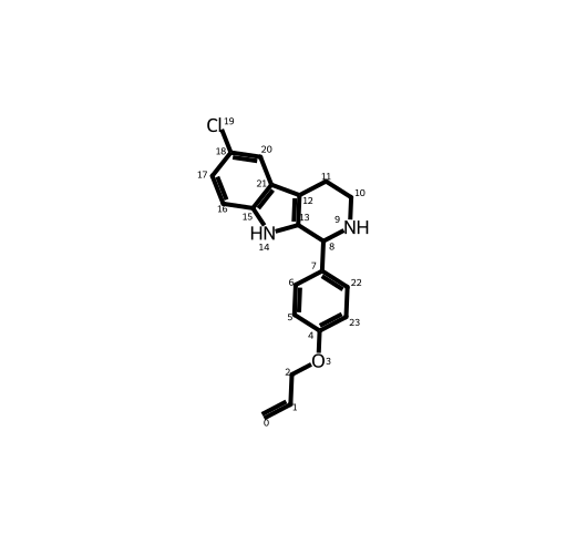 C=CCOc1ccc(C2NCCc3c2[nH]c2ccc(Cl)cc32)cc1